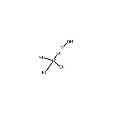 CC[N+](CC)(CC)CC.[O-]O